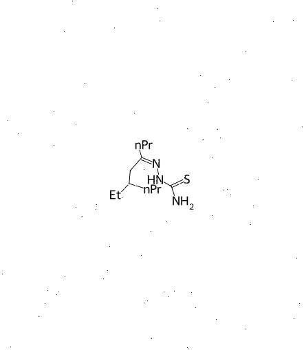 CCCC(CC(CC)CCC)=NNC(N)=S